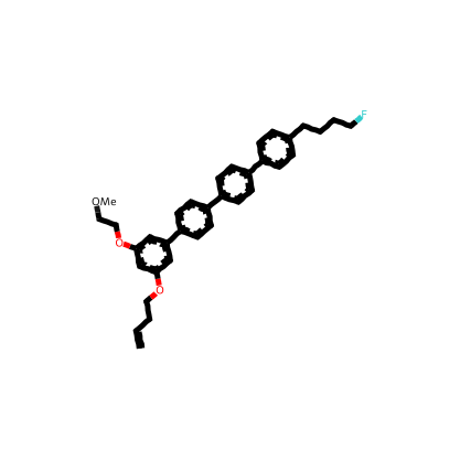 C=CCCOc1cc(OCCOC)cc(-c2ccc(-c3ccc(-c4ccc(CCCCF)cc4)cc3)cc2)c1